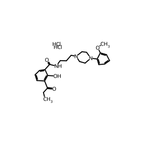 CCC(=O)c1cccc(C(=O)NCCCN2CCN(c3ccccc3OC)CC2)c1O.Cl.Cl